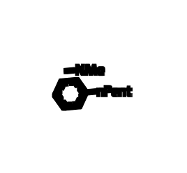 CNC.[CH2]CCCCc1ccccc1